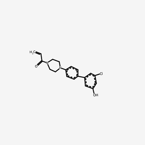 C=CC(=O)N1CCN(c2ccc(-c3cc(O)cc(Cl)c3)cc2)CC1